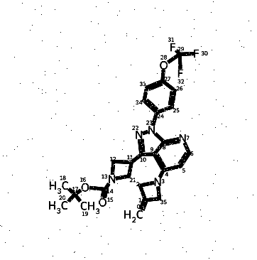 C=C1CN(c2ccnc3c2c(C2CN(C(=O)OC(C)(C)C)C2)nn3-c2ccc(OC(F)(F)F)cc2)C1